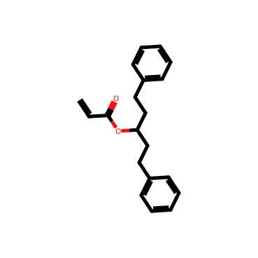 C=CC(=O)OC(CCc1ccccc1)CCc1ccccc1